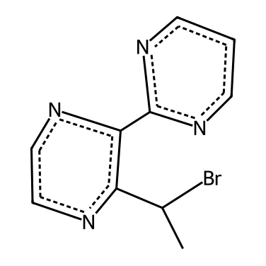 CC(Br)c1nccnc1-c1ncccn1